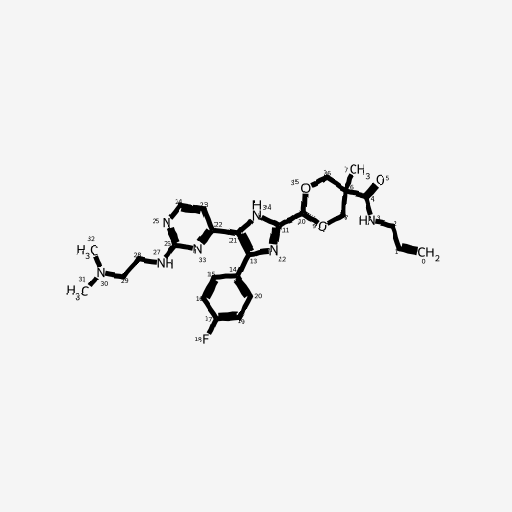 C=CCNC(=O)C1(C)COC(c2nc(-c3ccc(F)cc3)c(-c3ccnc(NCCN(C)C)n3)[nH]2)OC1